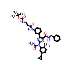 Cc1ccc(C2CC2)cc1N(C(N)=O)c1nc(-c2cccc(NC(=O)CCNC(=O)OC(C)(C)C)c2)c(C(=O)NCc2ccccc2)s1